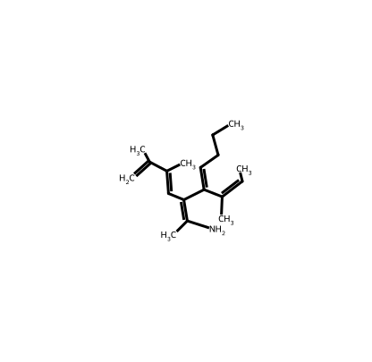 C=C(C)/C(C)=C/C(C(=CCCC)/C(C)=C\C)=C(\C)N